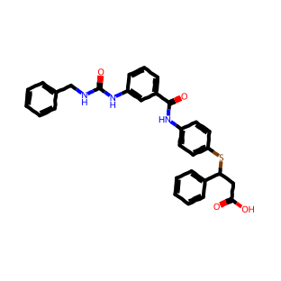 O=C(O)CC(Sc1ccc(NC(=O)c2cccc(NC(=O)NCc3ccccc3)c2)cc1)c1ccccc1